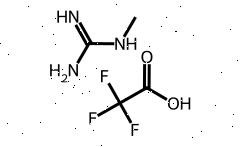 CNC(=N)N.O=C(O)C(F)(F)F